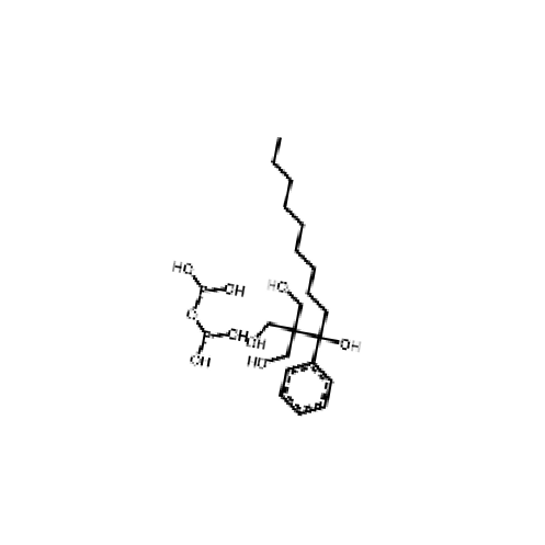 CCCCCCCCCC(O)(c1ccccc1)C(CO)(CO)CO.OP(O)OP(O)O